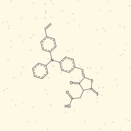 C=Cc1ccc(N(c2ccccc2)c2ccc(/C=C3/SC(=S)C(CC(=O)O)C3=O)cc2)cc1